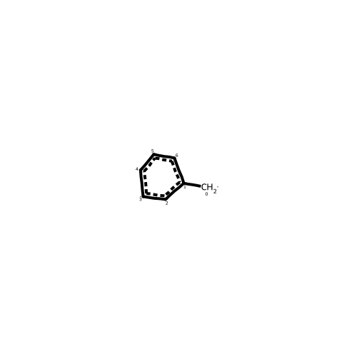 [CH2]c1c[c][c]cc1